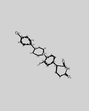 O=C1CCC(c2ccc(N3CCC(c4ccc(Cl)cc4)CC3)c(F)c2)C(=O)N1